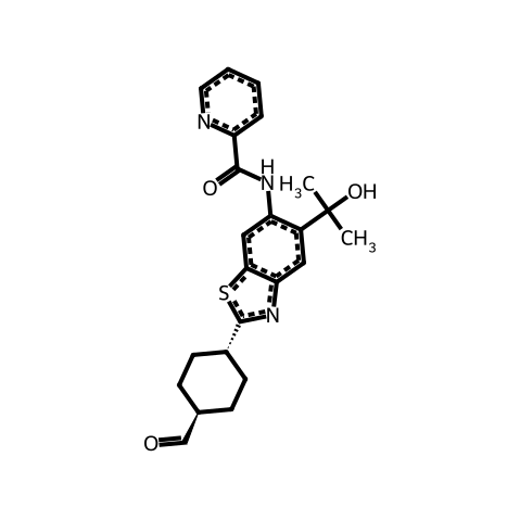 CC(C)(O)c1cc2nc([C@H]3CC[C@H](C=O)CC3)sc2cc1NC(=O)c1ccccn1